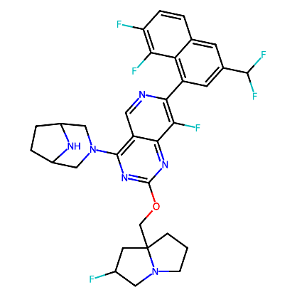 Fc1ccc2cc(C(F)F)cc(-c3ncc4c(N5CC6CCC(C5)N6)nc(OCC56CCCN5CC(F)C6)nc4c3F)c2c1F